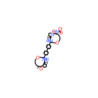 COC(=O)N[C@H]1CCCCOCc2[nH]c(nc2-c2ccc(-c3ccc(-c4nc5[nH]c4COCCCC[C@H](C)C(=O)C4CCC[C@@H]54)cc3)cc2)[C@@H]2CCCN2C1=O